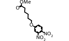 COC(=O)CCCCCOc1ccc([N+](=O)[O-])c([N+](=O)[O-])c1